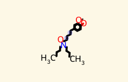 CCCCCN(CCCCC)C(=O)/C=C/C=C/c1ccc2c(c1)OCO2